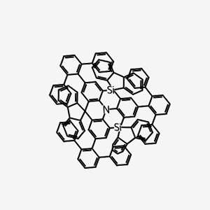 c1ccc(-c2cccc(-c3ccccc3)c2-c2cc3c4c(c2)[Si]2(c5ccccc5-c5ccccc52)c2cc(-c5c(-c6ccccc6)cccc5-c5ccccc5)cc5c2N4c2c(cc(-c4c(-c6ccccc6)cccc4-c4ccccc4)cc2[Si]52c4ccccc4-c4ccccc42)C32c3ccccc3-c3ccccc32)cc1